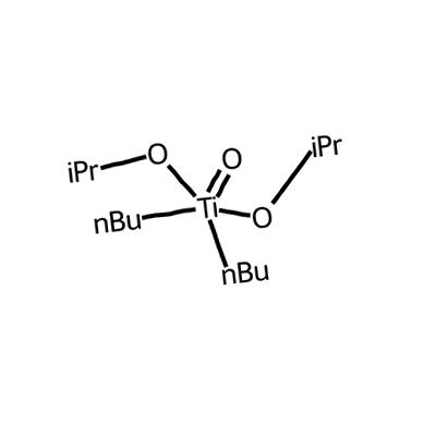 CCC[CH2][Ti](=[O])([CH2]CCC)([O]C(C)C)[O]C(C)C